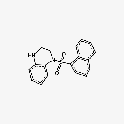 O=S(=O)(c1cccc2ccccc12)N1CCNc2ccccc21